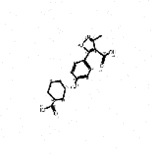 Cc1noc(-c2ccc(O[C@H]3CCC[C@H](C(=O)O)C3)cc2)c1C(=O)O